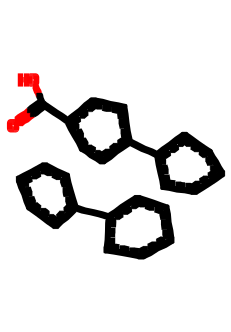 O=C(O)c1ccc(-c2ccccc2)cc1.c1ccc(-c2ccccc2)cc1